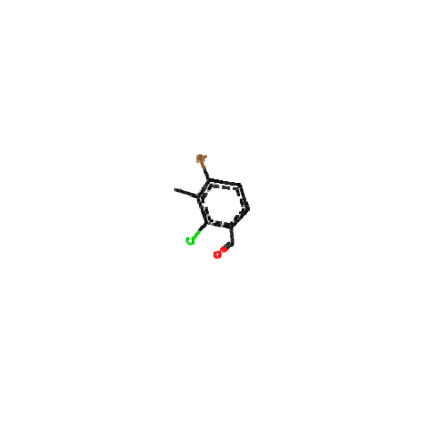 Cc1c(Br)ccc(C=O)c1Cl